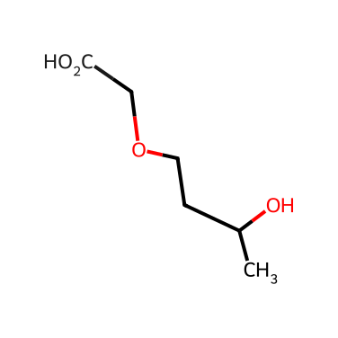 CC(O)CCOCC(=O)O